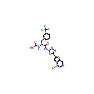 O=C(O)N[C@@H](Cc1cccc(C(F)(F)F)c1)C(=O)Nc1nnc(-c2cc3c(Cl)cncc3s2)s1